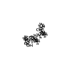 CC[C@@H](C(=O)C(C)(C)[C@H](CC(=O)O)O[Si](C)(C)C(C)(C)C)[C@@H](O[Si](C)(C)C(C)(C)C)[C@@H](C)CCCC(C)=CC[C@H](O[Si](C)(C)C(C)(C)C)C(Cl)=Cc1ccccn1